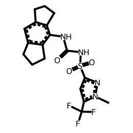 Cn1nc(S(=O)(=O)NC(=O)Nc2c3c(cc4c2CCC4)CCC3)cc1C(F)(F)F